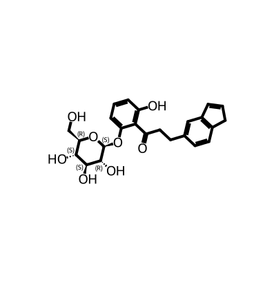 O=C(CCc1ccc2c(c1)C=CC2)c1c(O)cccc1O[C@@H]1O[C@H](CO)[C@@H](O)[C@H](O)[C@H]1O